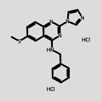 CSc1ccc2nc(-n3ccnc3)nc(NCc3ccccc3)c2c1.Cl.Cl